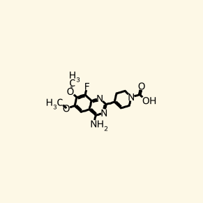 COc1cc2c(N)nc(C3=CCN(C(=O)O)CC3)nc2c(F)c1OC